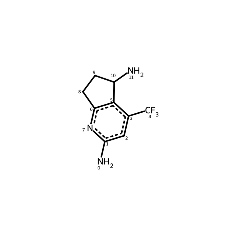 Nc1cc(C(F)(F)F)c2c(n1)CCC2N